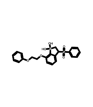 O=S(=O)(c1ccccc1)C1CS(O)(O)c2c(OCCOc3ccccc3)cccc21